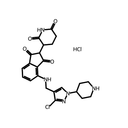 Cl.O=C1CCC(C2C(=O)c3cccc(NCc4cn(C5CCNCC5)nc4Cl)c3C2=O)C(=O)N1